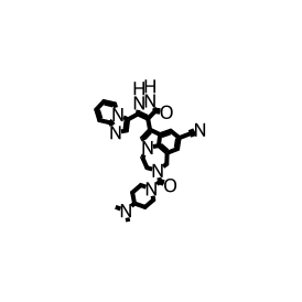 CN(C)C1CCN(C(=O)N2CCn3cc(-c4c(-c5cnc6ccccn56)[nH][nH]c4=O)c4cc(C#N)cc(c43)C2)CC1